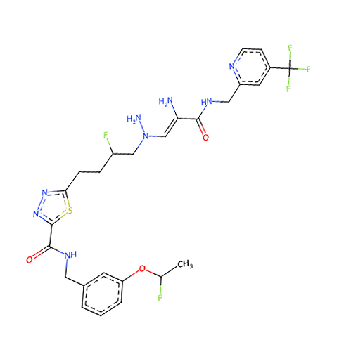 CC(F)Oc1cccc(CNC(=O)c2nnc(CCC(F)CN(N)/C=C(\N)C(=O)NCc3cc(C(F)(F)F)ccn3)s2)c1